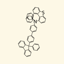 c1ccc(-c2cccc3sc4cccc(N(c5ccccc5)c5ccc(-c6ccc(C7(c8ccccc8)c8ccccc8-c8ccccc87)cc6)cc5)c4c23)cc1